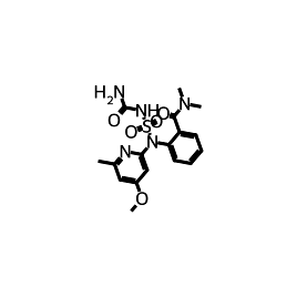 COc1cc(C)nc(N(c2ccccc2C(=O)N(C)C)S(=O)(=O)NC(N)=O)c1